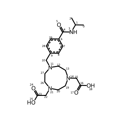 CC(C)NC(=O)c1ccc(CN2CCN(CC(=O)O)CCN(CC(=O)O)CC2)cc1